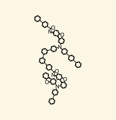 c1ccc(-c2ccc(-c3ccc(N(c4ccc(-c5cccc(-c6cccc(-c7ccc(-c8nc9cc%10c(cc9o8)oc8cccc(N(c9ccc(-c%11ccccc%11)cc9)c9ccc%11c(c9)oc9ccccc9%11)c8%10)cc7)c6)c5)cc4)c4ccc5oc6cc7oc(-c8ccc(-c9ccccc9)cc8)nc7cc6c5c4)cc3)cc2)cc1